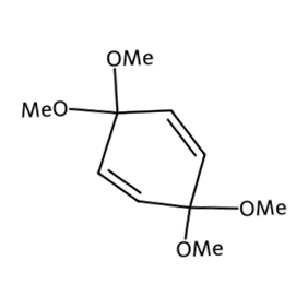 COC1(OC)C=CC(OC)(OC)C=C1